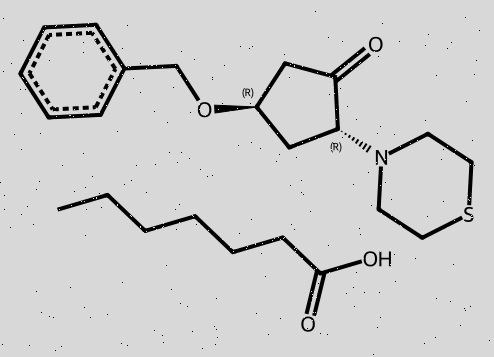 CCCCCCC(=O)O.O=C1C[C@H](OCc2ccccc2)C[C@H]1N1CCSCC1